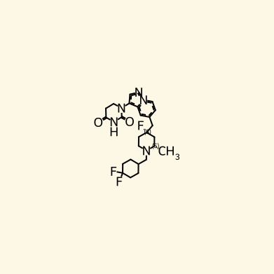 C[C@H]1C[C@](F)(Cc2ccn3ncc(N4CCC(=O)NC4=O)c3c2)CCN1CC1CCC(F)(F)CC1